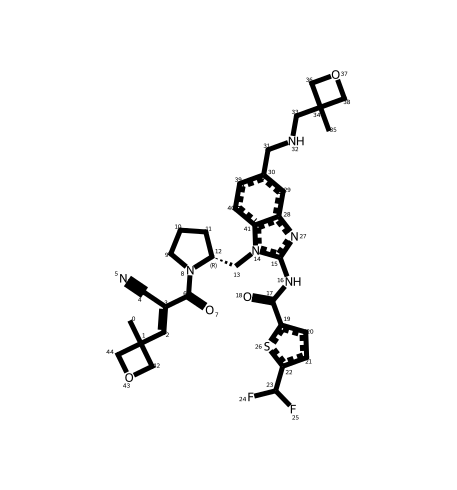 CC1(C=C(C#N)C(=O)N2CCC[C@@H]2Cn2c(NC(=O)c3ccc(C(F)F)s3)nc3cc(CNCC4(C)COC4)ccc32)COC1